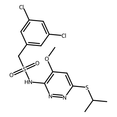 COc1cc(SC(C)C)nnc1NS(=O)(=O)Cc1cc(Cl)cc(Cl)c1